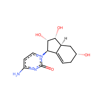 Nc1ccn([C@@H]2C3=CC[C@@H](O)C[C@@H]3[C@@H](O)[C@H]2O)c(=O)n1